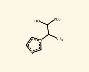 CCCCC(O)C(C)n1ccnc1